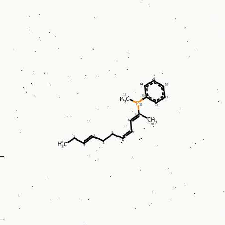 CCC=CCC/C=C\C=C(/C)P(C)c1ccccc1